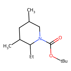 CCC1C(C)CC(C)CN1C(=O)OC(C)(C)C